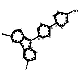 Cc1ccc2c(c1)c1cc(I)ccc1n2-c1ccc(-c2ccc(N=O)cc2)cc1